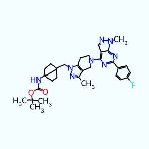 Cc1nn(CC23CCC(NC(=O)OC(C)(C)C)(CC2)CC3)c2c1CN(c1nc(-c3ccc(F)cc3)nc3c1cnn3C)CC2